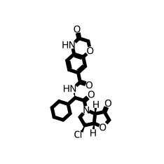 O=C1COc2cc(C(=O)N[C@H](C(=O)N3C[C@H](Cl)[C@H]4OCC(=O)[C@H]43)C3CCCCC3)ccc2N1